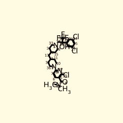 CN(C)C(=O)c1ccc(N2CCC(CC3CCN(C[C@](O)(c4cc(Cl)cc(Cl)c4)C(F)(F)F)CC3)CC2)nc1Cl